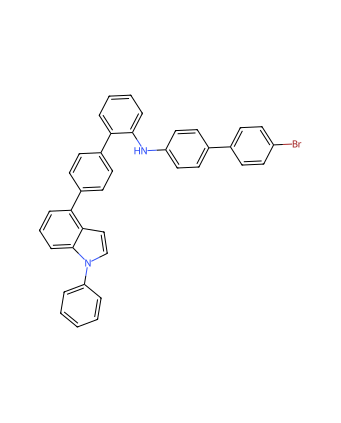 Brc1ccc(-c2ccc(Nc3ccccc3-c3ccc(-c4cccc5c4ccn5-c4ccccc4)cc3)cc2)cc1